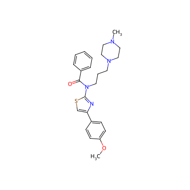 COc1ccc(-c2csc(N(CCCN3CCN(C)CC3)C(=O)c3ccccc3)n2)cc1